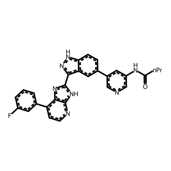 CCCC(=O)Nc1cncc(-c2ccc3[nH]nc(-c4nc5c(-c6cccc(F)c6)ccnc5[nH]4)c3c2)c1